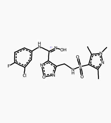 Cc1nn(C)c(C)c1S(=O)(=O)NCc1nonc1/C(=N\O)Nc1ccc(F)c(Cl)c1